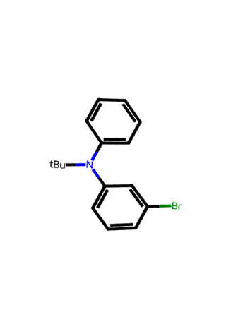 CC(C)(C)N(c1ccccc1)c1cccc(Br)c1